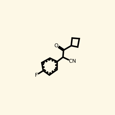 N#CC(C(=O)C1CCC1)c1ccc(F)cc1